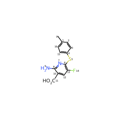 Cc1ccc(Sc2nc(N)c(C(=O)O)cc2F)cc1